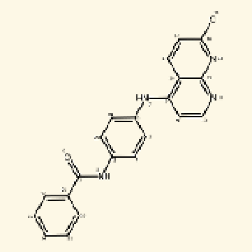 O=C(Nc1ccc(Nc2ccnc3nc(Cl)ccc23)cc1)c1ccccc1